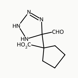 O=CC1(C2(C(=O)O)CCCC2)N=NNN1